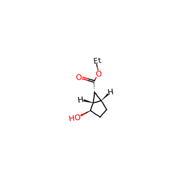 CCOC(=O)[C@@H]1[C@@H]2CC[C@@H](O)[C@@H]21